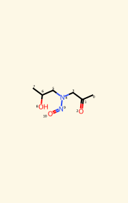 CC(=O)CN(CC(C)O)N=O